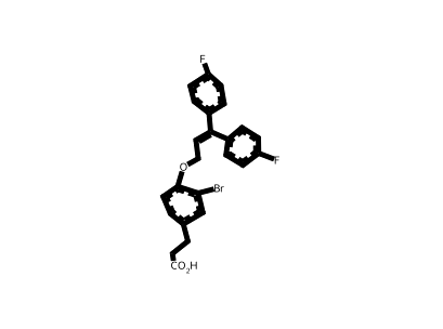 O=C(O)CCc1ccc(OCC=C(c2ccc(F)cc2)c2ccc(F)cc2)c(Br)c1